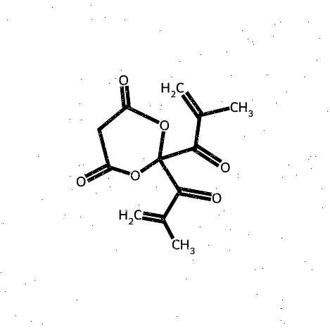 C=C(C)C(=O)C1(C(=O)C(=C)C)OC(=O)CC(=O)O1